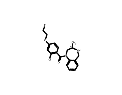 C[C@@H]1CN(C(=O)c2ccc(OCCF)cc2Cl)c2ccccc2CN1